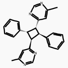 Cc1cc([C@H]2[C@H](c3ccccc3)[C@H](c3cc(C)ncn3)[C@H]2c2ccccc2)ncn1